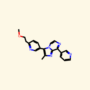 COCCc1ccc(-c2c(C)nc3c(-c4cccnc4)nccn23)cn1